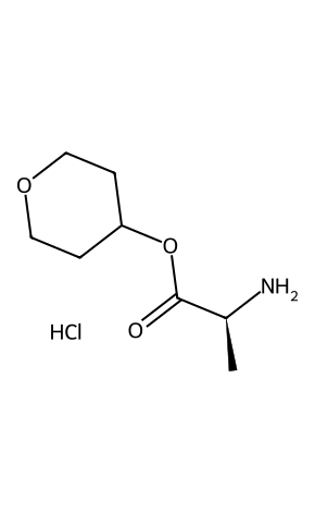 C[C@H](N)C(=O)OC1CCOCC1.Cl